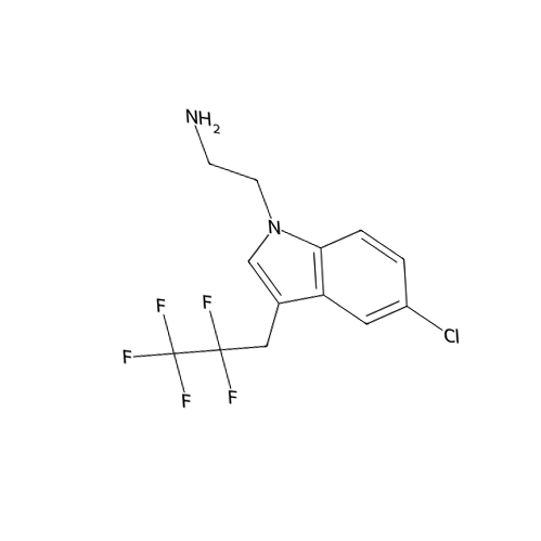 NCCn1cc(CC(F)(F)C(F)(F)F)c2cc(Cl)ccc21